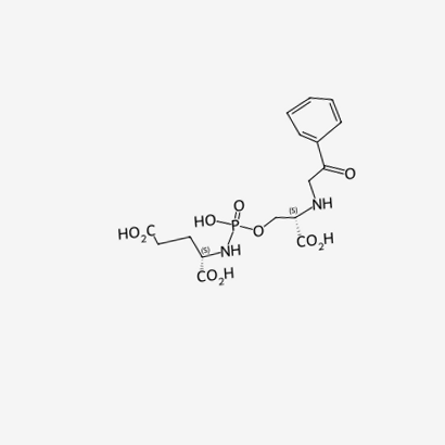 O=C(O)CC[C@H](NP(=O)(O)OC[C@H](NCC(=O)c1ccccc1)C(=O)O)C(=O)O